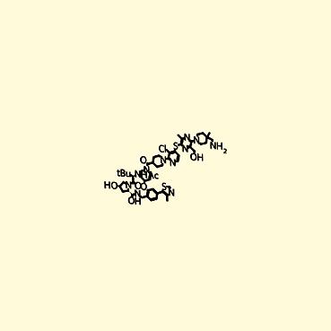 CC(=O)N[C@H](C(=O)N1C[C@H](O)C[C@H]1C(=O)NCc1ccc(-c2scnc2C)cc1OC1CCN(C(=O)C2CCN(c3nccc(Sc4nc(CO)c(N5CCC(C)(CN)CC5)nc4C)c3Cl)CC2)CC1)C(C)(C)C